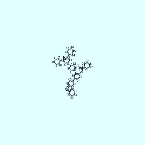 c1ccc(-c2cc(-c3ccc4c(c3)CN(c3ccccc3)Cc3ccc(-c5ccc6oc7ccccc7c6c5)cc3-4)cc(-c3ccccc3)n2)cc1